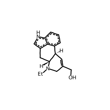 CCN1CC(CO)=C[C@@H]2c3cccc4[nH]cc(c34)C[C@H]21